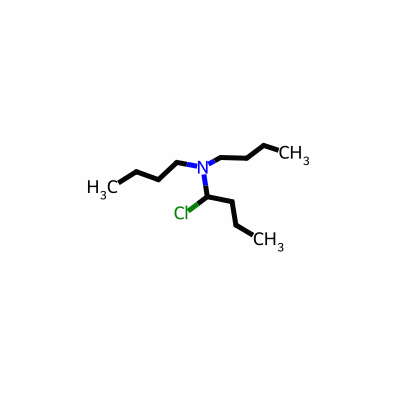 CCCCN(CCCC)C(Cl)CCC